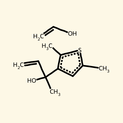 C=CC(C)(O)c1cc(C)sc1C.C=CO